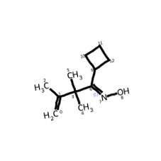 C=C(C)C(C)(C)/C(=N/O)C1CCC1